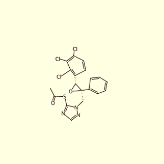 CC(=O)Sc1ncnn1C[C@]1(c2ccccc2)O[C@@H]1c1ccc(Cl)c(Cl)c1Cl